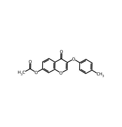 CC(=O)Oc1ccc2c(=O)c(Oc3ccc(C)cc3)coc2c1